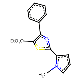 CCOC(=O)c1sc(-c2cccn2C)nc1-c1ccccc1